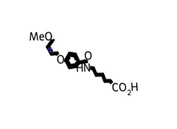 COC/C=C\COc1ccc(C(=O)NCCCCCC(=O)O)cc1